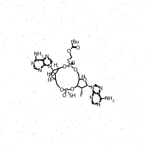 CC(C)(C)C(=O)OCSP1(=O)OC[C@H]2O[C@@H](n3cnc4c(N)ncnc43)[C@@H](F)C2OP(=O)(S)OC[C@H]2O[C@@H](n3cnc4c(N)ncnc43)[C@@H](O1)C2O